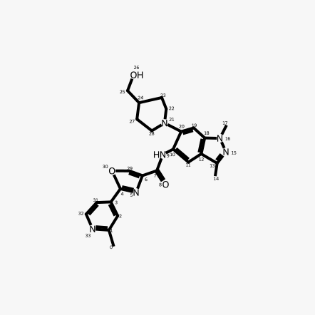 Cc1cc(-c2nc(C(=O)Nc3cc4c(C)nn(C)c4cc3N3CCC(CO)CC3)co2)ccn1